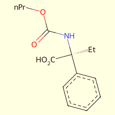 CCCOC(=O)N[C@](CC)(C(=O)O)c1ccccc1